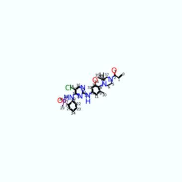 C=CC(=O)N1CCN2c3c(C)cc(Nc4ncc(Cl)c(Nc5ccccc5P(C)(C)=O)n4)cc3OC[C@H]2C1